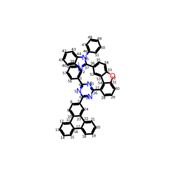 c1ccc(-c2nc(-c3ccc4c5ccccc5c5ccccc5c4c3)nc(-c3cccc4oc5ccc(-c6nc7ccccc7n6-c6ccccc6)cc5c34)n2)cc1